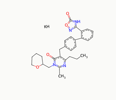 CCCc1nc(C)n(CC2CCCCO2)c(=O)c1Cc1ccc(-c2ccccc2-c2noc(=O)[nH]2)cc1.[KH]